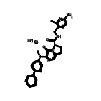 Cc1nc(N)ccc1CNC(=O)[C@@H]1CCc2cnc(N(C)c3ccc(-c4ccccc4)cc3)c(=O)n21.Cl.Cl